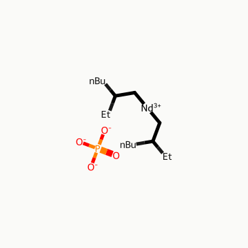 CCCCC(CC)[CH2][Nd+3][CH2]C(CC)CCCC.O=P([O-])([O-])[O-]